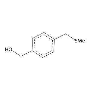 CSCc1ccc(CO)cc1